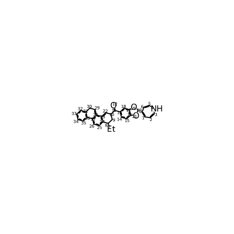 C1=CC=CNC=C1.CCC1CC(C(=O)c2ccc3c(c2)OCO3)C=c2c1ccc1c2=CCc2ccccc2-1